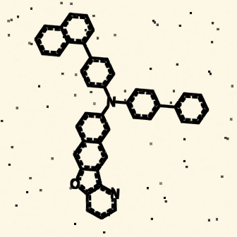 c1ccc(-c2ccc(N(c3ccc(-c4cccc5ccccc45)cc3)c3ccc4cc5oc6cccnc6c5cc4c3)cc2)cc1